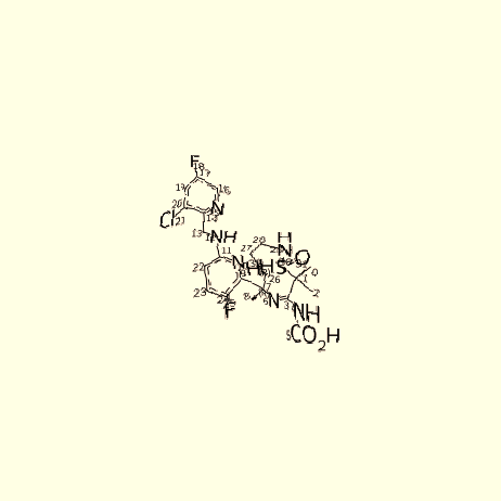 CC1(C)C(NC(=O)O)=N[C@](C)(c2nc(NCc3ncc(F)cc3Cl)ccc2F)[C@H]2CCN[SH]21=O